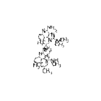 CC(C)Cn1c(N(C)C)nc2c(N)nc3ccccc3c21.CNc1nc2c(N)nc3ccccc3c2n1CC(C)C